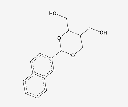 OCC1COC(c2ccc3ccccc3c2)OC1CO